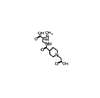 CN[C@@H](CNC(=O)C1CCN(CC(=O)O)CC1)C(=O)O